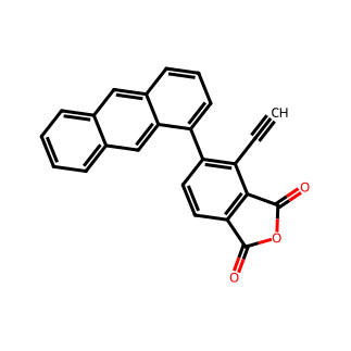 C#Cc1c(-c2cccc3cc4ccccc4cc23)ccc2c1C(=O)OC2=O